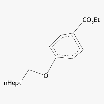 CCCCCCCCOc1ccc(C(=O)OCC)cc1